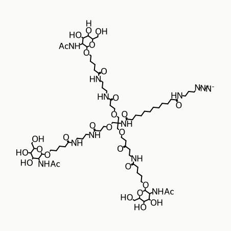 CC(=O)NC1C(OCCCCC(=O)NCCCNC(=O)CCOCC(COCCC(=O)CCNC(=O)CCCCOC2OC(CO)C(O)C(O)C2NC(C)=O)(COCCC(=O)NCCCNC(=O)CCCCOC2OC(CO)C(O)C(O)C2NC(C)=O)NC(=O)CCCCCCCCCCC(=O)NCCCN=[N+]=[N-])OC(CO)C(O)C1O